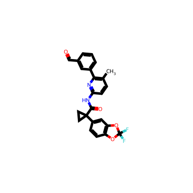 Cc1ccc(NC(=O)C2(c3ccc4c(c3)OC(F)(F)O4)CC2)nc1-c1cccc(C=O)c1